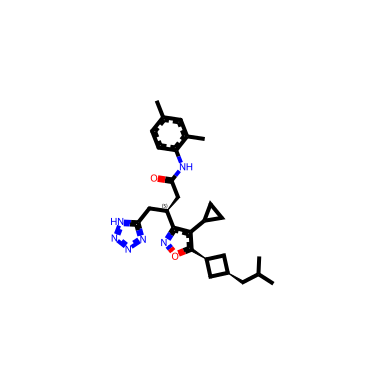 Cc1ccc(NC(=O)C[C@H](Cc2nnn[nH]2)c2noc([C@H]3C[C@@H](CC(C)C)C3)c2C2CC2)c(C)c1